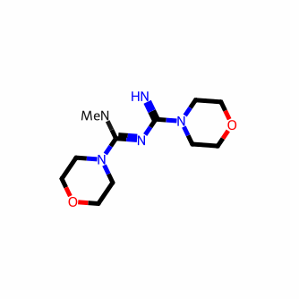 CN/C(=N\C(=N)N1CCOCC1)N1CCOCC1